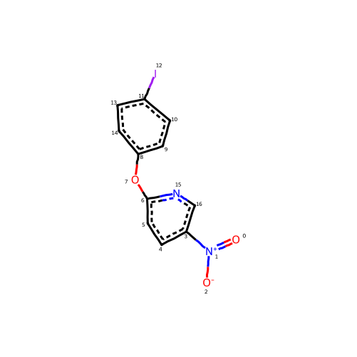 O=[N+]([O-])c1ccc(Oc2ccc(I)cc2)nc1